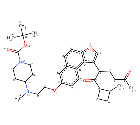 CC(=O)CCC(C(=O)C1CCC1C)c1coc2ccc3cc(OCCN(C)C4CCN(C(=O)OC(C)(C)C)CC4)ccc3c12